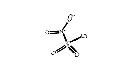 O=[N+]([O-])S(=O)(=O)Cl